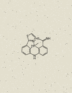 C[PH]12c3c(cccc3C(=N)S)Nc3cccc(c31)-c1scc[n+]12